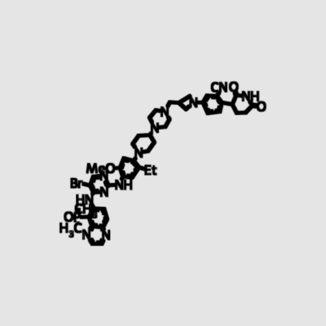 CCc1cc(Nc2ncc(Br)c(Nc3ccc4nccnc4c3P(C)(C)=O)n2)c(OC)cc1N1CCC(N2CCN(CC3CN(c4ccc(C5CCC(=O)NC5=O)c(C#N)c4)C3)CC2)CC1